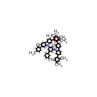 Cc1ccc(-c2ccc3c4ccc(-c5ccc(C)cc5C)cc4n(-c4cc(-c5cccc(C#N)c5)cc(-n5c6cc(-c7ccc(C)cc7C)ccc6c6ccc(-c7ccc(C)cc7C)cc65)c4C(F)(F)F)c3c2)c(C)c1